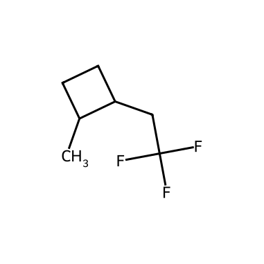 CC1CCC1CC(F)(F)F